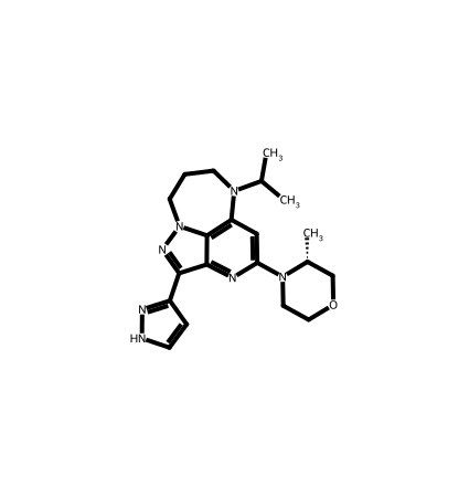 CC(C)N1CCCn2nc(-c3cc[nH]n3)c3nc(N4CCOC[C@H]4C)cc1c32